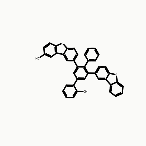 N#Cc1ccc2sc3ccc(-c4cc(-c5ccccc5C#N)cc(-c5ccc6sc7ccccc7c6c5)c4-c4ccccc4)cc3c2c1